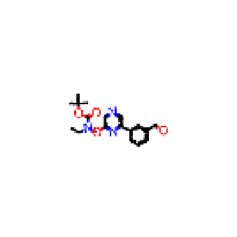 CCN(Oc1cncc(-c2cccc(C=O)c2)n1)C(=O)OC(C)(C)C